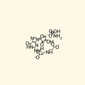 COC(=O)CCNCCC(=O)OC.Nc1nc2c(ncn2[C@@H]2O[C@H](COP(N)(=O)O)[C@@H](O)[C@H]2O)c(=O)[nH]1